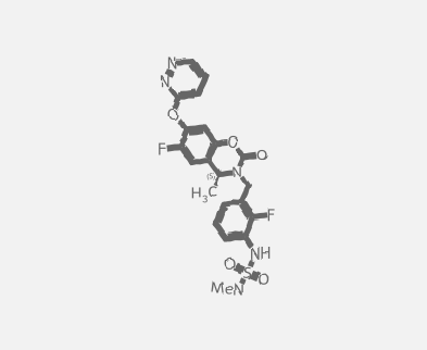 CNS(=O)(=O)Nc1cccc(CN2C(=O)Oc3cc(Oc4cccnn4)c(F)cc3[C@@H]2C)c1F